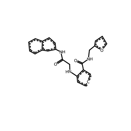 O=C(CNc1ccccc1C(=O)NCc1ccco1)Nc1ccc2ccccc2c1